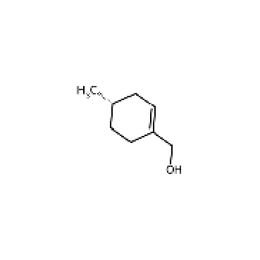 C[C@@H]1CC=C(CO)CC1